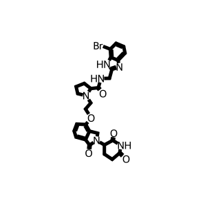 O=C1CCC(N2Cc3c(OCCN4CCCC4C(=O)NCc4nc5cccc(Br)c5[nH]4)cccc3C2=O)C(=O)N1